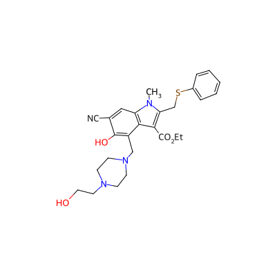 CCOC(=O)c1c(CSc2ccccc2)n(C)c2cc(C#N)c(O)c(CN3CCN(CCO)CC3)c12